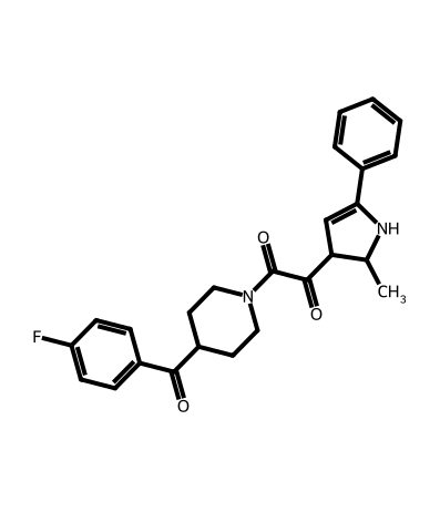 CC1NC(c2ccccc2)=CC1C(=O)C(=O)N1CCC(C(=O)c2ccc(F)cc2)CC1